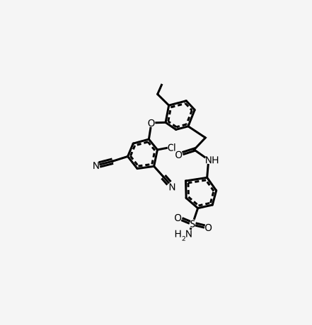 CCc1ccc(CC(=O)Nc2ccc(S(N)(=O)=O)cc2)cc1Oc1cc(C#N)cc(C#N)c1Cl